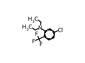 CCN(CC)c1cc(Cl)ccc1C(F)(F)F